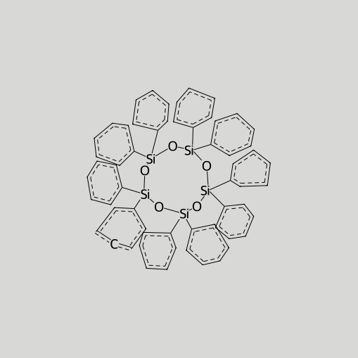 c1ccc([Si]2(c3ccccc3)O[Si](c3ccccc3)(c3ccccc3)O[Si](c3ccccc3)(c3ccccc3)O[Si](c3ccccc3)(c3ccccc3)O[Si](c3ccccc3)(c3ccccc3)O2)cc1